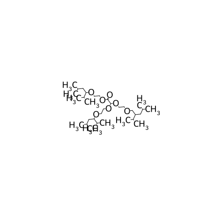 CC(C)CC(COCCOC(OCCOC(CC(C)C)C(C)C)C(=O)OCCOC(CC(C)C)C(C)C)C(C)C